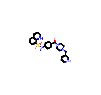 O=C(c1ccc(NS(=O)(=O)c2cccc3c2NCC=C3)cc1)N1CCN(CC2=CC=CNC2)CC1